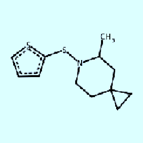 CC1CC2(CCN1Sc1cccs1)CC2